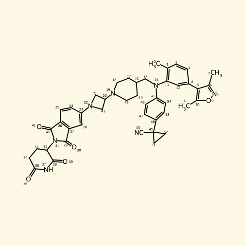 Cc1ccc(-c2c(C)noc2C)cc1N(CC1CCN(C2CN(c3ccc4c(c3)C(=O)N(C3CCC(=O)NC3=O)C4=O)C2)CC1)c1ccc(C2(C#N)CC2)cc1